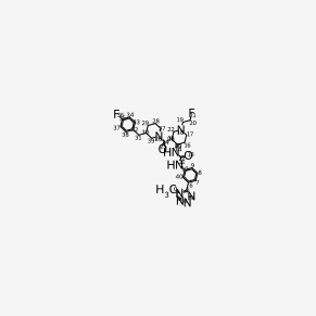 Cn1nnnc1-c1cccc(NC(=O)N[C@@H]2CCN(CCF)C[C@H]2C(=O)N2CCCC(Cc3ccc(F)cc3)C2)c1